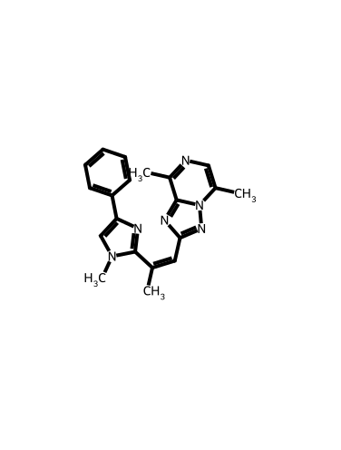 CC(=Cc1nc2c(C)ncc(C)n2n1)c1nc(-c2ccccc2)cn1C